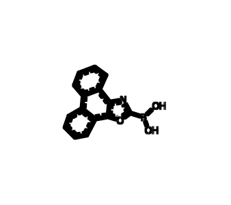 OB(O)c1nc2c3ccccc3c3ccccc3c2o1